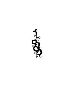 CC(C)CNC(=O)[C@H]1CC[C@H]2[C@@H]3CC[C@H]4NC(=O)C=C[C@]4(C)[C@H]3CC[C@]12C